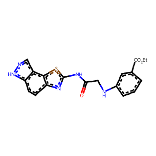 CCOC(=O)c1cccc(NCC(=O)Nc2nc3ccc4[nH]ncc4c3s2)c1